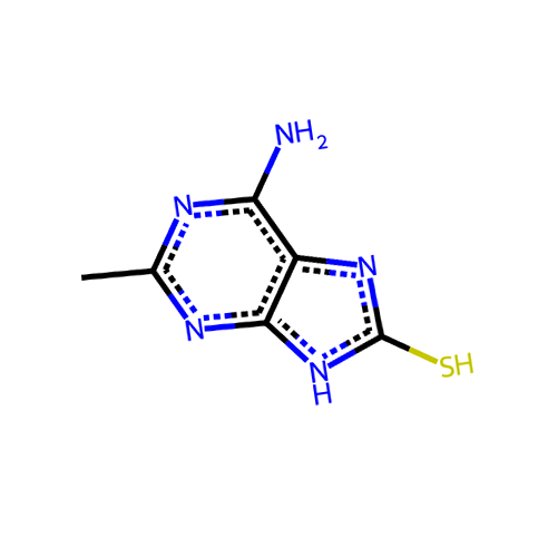 Cc1nc(N)c2nc(S)[nH]c2n1